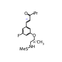 CSNC[C@@H](C)Oc1cc(F)cc(/C=C/C(=O)C(C)C)c1